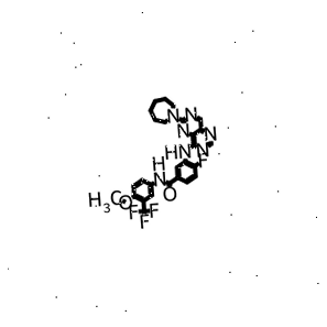 COc1ccc(NC(=O)c2ccc(F)c(Nc3ncnc4cnc(N5CCCCCC5)nc34)c2)cc1C(F)(F)F